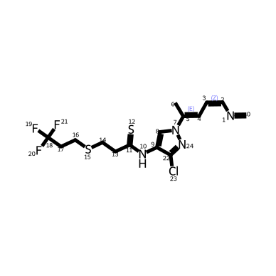 C=N/C=C\C=C(/C)n1cc(NC(=S)CCSCCC(F)(F)F)c(Cl)n1